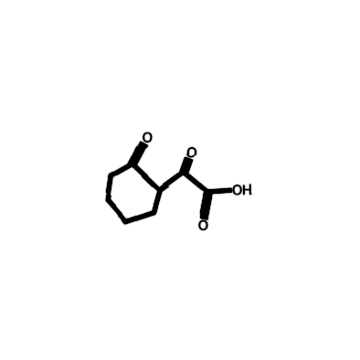 O=C(O)C(=O)C1CCCCC1=O